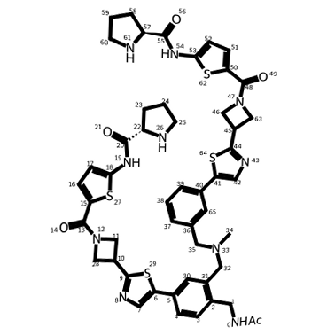 CC(=O)NCc1ccc(-c2cnc(C3CN(C(=O)c4ccc(NC(=O)[C@@H]5CCCN5)s4)C3)s2)cc1CN(C)Cc1cccc(-c2cnc(C3CN(C(=O)c4ccc(NC(=O)[C@@H]5CCCN5)s4)C3)s2)c1